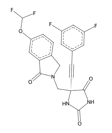 O=C1NC(=O)[C@](C#Cc2cc(F)cc(F)c2)(CN2Cc3ccc(OC(F)F)cc3C2=O)N1